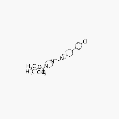 CC(C)(C)OC(=O)N1CCN(CCN2CC3(CC=C(c4ccc(Cl)cc4)CC3)C2)CC1